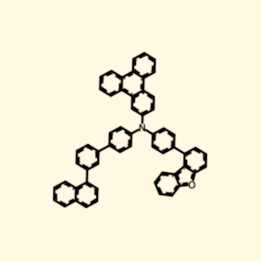 c1cc(-c2ccc(N(c3ccc(-c4cccc5oc6ccccc6c45)cc3)c3ccc4c5ccccc5c5ccccc5c4c3)cc2)cc(-c2cccc3ccccc23)c1